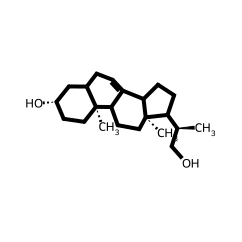 C[C@@H](CO)C1CCC2C3=CCC4C[C@@H](O)CC[C@]4(C)C3CC[C@@]21C